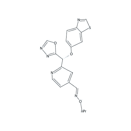 CCCO/N=C/c1ccnc([C@@H](Oc2ccc3ncsc3c2)c2nnco2)c1